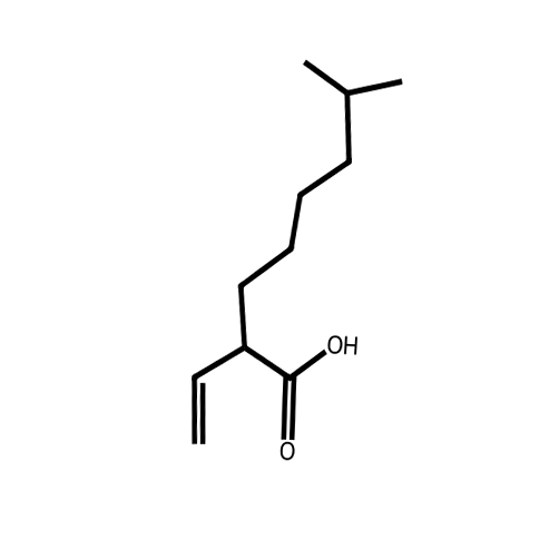 C=CC(CCCCC(C)C)C(=O)O